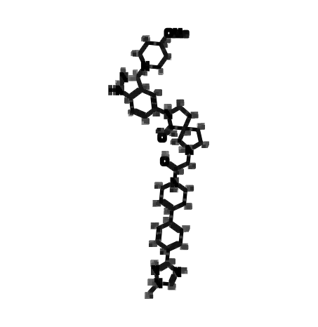 COC1CCN(c2n[nH]c3ccc(N4CCC5(CCN(CC(=O)N6CC=C(c7ccc(-c8ncn(C)n8)cc7)CC6)C5)C4=O)cc23)CC1